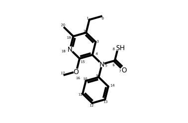 CCc1cc(N(C(=O)S)c2ccccc2)c(OC)nc1C